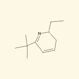 CCC1CC=CC(C(C)(C)C)=N1